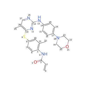 C=CC(=O)Nc1ccc(Sc2nc(Nc3ccc(N4CCOCC4)cc3)ncc2C)cc1C